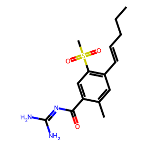 CCC/C=C/c1cc(C)c(C(=O)N=C(N)N)cc1S(C)(=O)=O